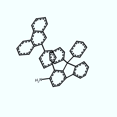 Nc1ccc2c(c1-c1ccc(-c3cc4ccccc4c4ccccc34)cc1)C(c1ccccc1)(c1ccccc1)c1ccccc1-2